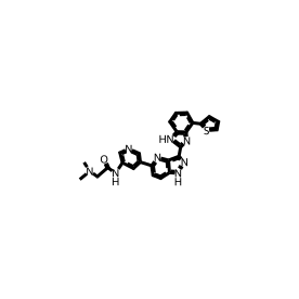 CN(C)CC(=O)Nc1cncc(-c2ccc3[nH]nc(-c4nc5c(-c6cccs6)cccc5[nH]4)c3n2)c1